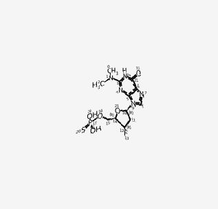 CN(C)c1nc2c(ncn2[C@H]2C[C@@H](F)[C@@H](COP(O)(O)=S)O2)c(=O)[nH]1